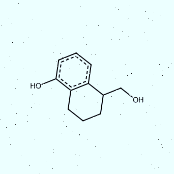 OCC1CCCc2c(O)cccc21